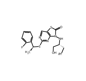 CC(C)C[C@H](CO)Nn1c(=O)sc2cnc(S[C@@H](C)c3ccccc3F)nc21